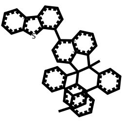 Cc1ccccc1-c1ccccc1C12c3ccccc3-c3ccccc3C1(C)c1cccc3c(-c4cccc5c4sc4ccccc45)ccc2c13